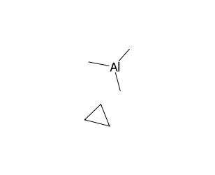 C1CC1.[CH3][Al]([CH3])[CH3]